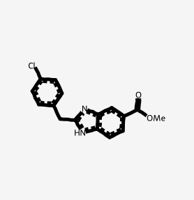 COC(=O)c1ccc2[nH]c(Cc3ccc(Cl)cc3)nc2c1